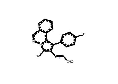 CC(C)c1c(/C=C/C=O)c(-c2ccc(F)cc2)c2c3ccccc3cnn12